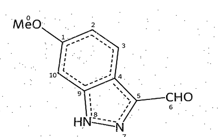 COc1ccc2c(C=O)n[nH]c2c1